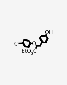 CCOC(=O)C(Cc1ccc(O)cc1)Oc1ccc(Cl)cc1